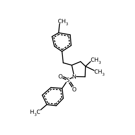 Cc1ccc(CC2CC(C)(C)CN2S(=O)(=O)c2ccc(C)cc2)cc1